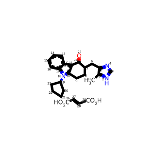 Cc1[nH]cnc1CC1CCc2c(c3ccccc3n2C2CCCC2)C1=O.O=C(O)C=CC(=O)O